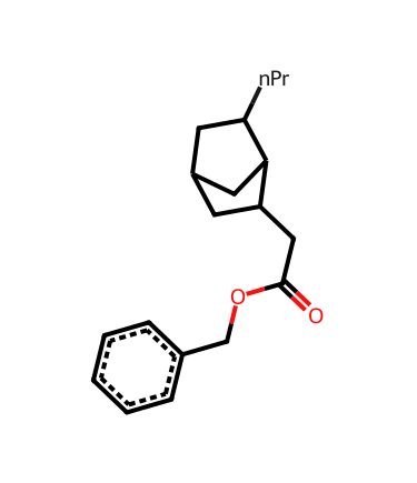 CCCC1CC2CC(CC(=O)OCc3ccccc3)C1C2